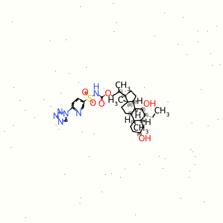 CC[C@H]1[C@@H](O)[C@@H]2[C@H](CC[C@]3(C)[C@@H]([C@H](C)COC(=O)NS(=O)(=O)c4ccc(-n5cnnn5)nc4)CC[C@@H]23)[C@@]2(C)CC[C@@H](O)C[C@@H]12